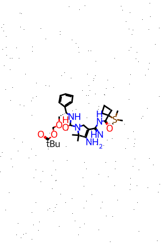 CC(C)(C)C(=O)OCOC[C@@H](N[C@H](O)N1CC(C(=N)NC(=O)C2(S(C)(C)C)CCC2)=C(N)C1(C)C)c1ccccc1